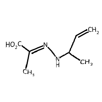 C=CC(C)NN=C(C)C(=O)O